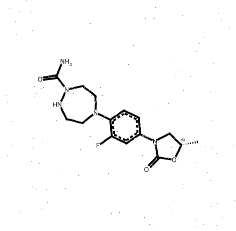 C[C@H]1CN(c2ccc(N3CCNN(C(N)=O)CC3)c(F)c2)C(=O)O1